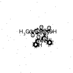 CCOC(=O)N1CCN(C(=O)[C@H](CCC(=O)O)NC(=O)c2cc(NC(=O)Cc3ccccc3)nc(-c3ccccc3)n2)CC1